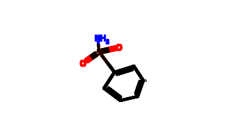 NS(=O)(=O)c1c[c]ccc1